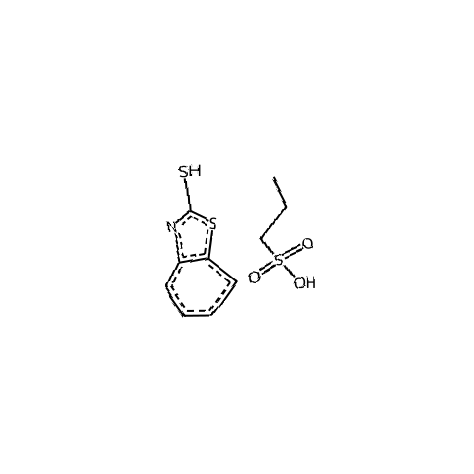 CCCS(=O)(=O)O.Sc1nc2ccccc2s1